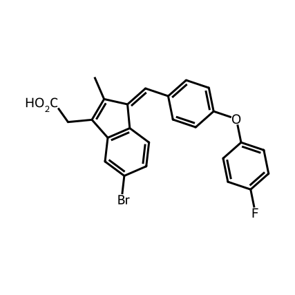 CC1=C(CC(=O)O)c2cc(Br)ccc2/C1=C\c1ccc(Oc2ccc(F)cc2)cc1